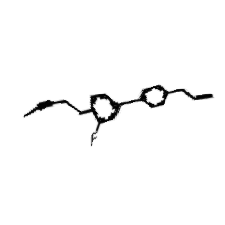 C=CCc1ccc(-c2ccc(CCC#CC)c(F)c2)cc1